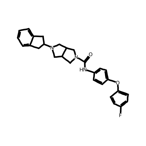 O=C(Nc1ccc(Oc2ccc(F)cc2)cc1)N1CC2CN(C3Cc4ccccc4C3)CC2C1